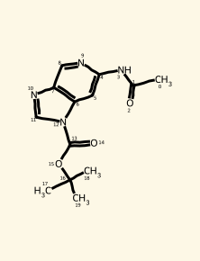 CC(=O)Nc1cc2c(cn1)ncn2C(=O)OC(C)(C)C